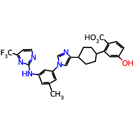 Cc1cc(Nc2nccc(C(F)(F)F)n2)cc(-n2cnc(C3CCC(c4cc(O)ccc4C(=O)O)CC3)c2)c1